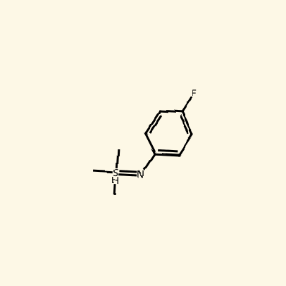 C[SH](C)(C)=Nc1ccc(F)cc1